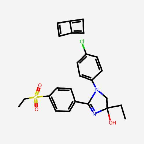 CCC1(O)CN(c2ccc(Cl)cc2)C(c2ccc(S(=O)(=O)CC)cc2)=N1.c1cc2ccc1-2